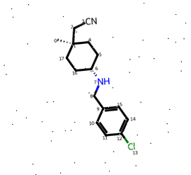 C[C@]1(CC#N)CC[C@H](NCc2ccc(Cl)cc2)CC1